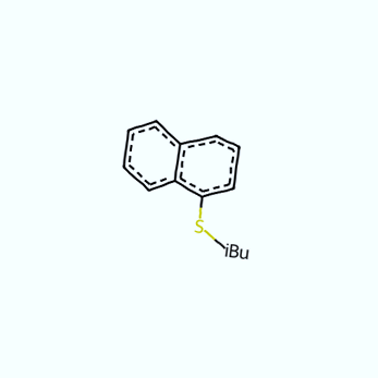 CCC(C)Sc1cccc2ccccc12